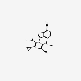 COC(=O)C1=C(C#N)NC(C2CC2)=C(C(=O)OC)C1c1csc2c(C#N)cccc12